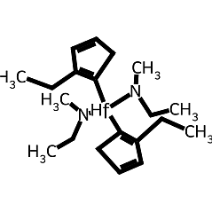 CCC1=[C]([Hf]([C]2=C(CC)C=CC2)([N](C)CC)[N](C)CC)CC=C1